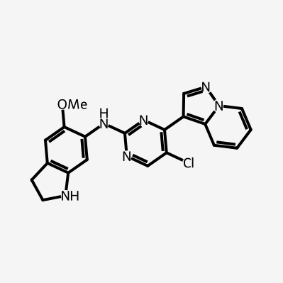 COc1cc2c(cc1Nc1ncc(Cl)c(-c3cnn4ccccc34)n1)NCC2